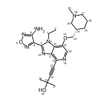 CCn1c(-c2nonc2N)nc2c(C#CC(C)(C)O)ncc(OC[C@H]3CCCN(C)C3)c21